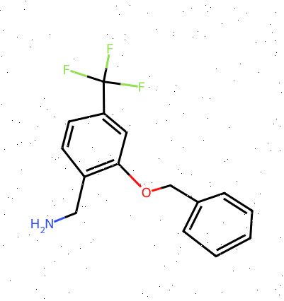 NCc1ccc(C(F)(F)F)cc1OCc1ccccc1